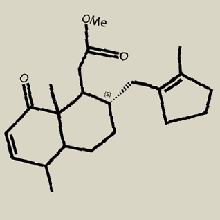 COC(=O)CC1[C@H](CC2=C(C)CCC2)CCC2C(C)C=CC(=O)C21C